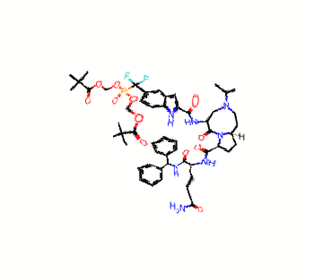 CC(C)N1CC[C@H]2CC[C@@H](C(=O)N[C@@H](CCC(N)=O)C(=O)NC(c3ccccc3)c3ccccc3)N2C(=O)[C@@H](NC(=O)c2cc3cc(C(F)(F)P(=O)(OCOC(=O)C(C)(C)C)OCOC(=O)C(C)(C)C)ccc3[nH]2)C1